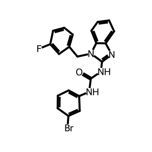 O=C(Nc1cccc(Br)c1)Nc1nc2ccccc2n1Cc1cccc(F)c1